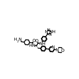 NCC1CCC(C(=O)N[C@@H](Cc2ccc(-c3ccc(N4CCOCC4)nc3)cc2)C(=O)Nc2ccc(-c3nn[nH]n3)cc2)CC1